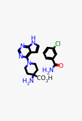 NC(=O)c1cccc(Cl)c1.NC1(C(=O)O)CCN(c2ncnc3[nH]ccc23)CC1